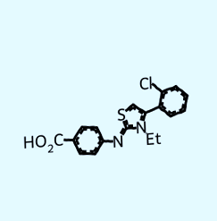 CCn1c(-c2ccccc2Cl)csc1=Nc1ccc(C(=O)O)cc1